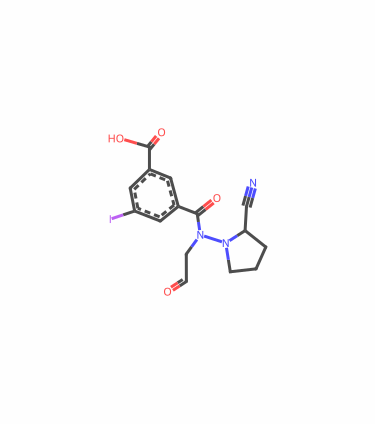 N#CC1CCCN1N(CC=O)C(=O)c1cc(I)cc(C(=O)O)c1